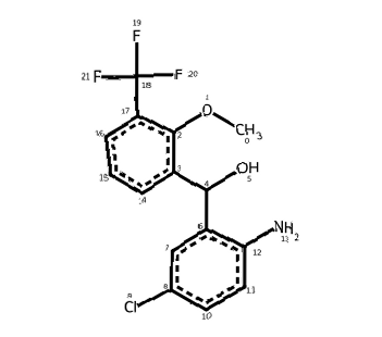 COc1c(C(O)c2cc(Cl)ccc2N)cccc1C(F)(F)F